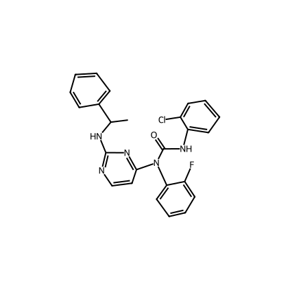 CC(Nc1nccc(N(C(=O)Nc2ccccc2Cl)c2ccccc2F)n1)c1ccccc1